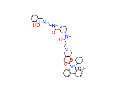 O=C(CCN1CCC(OC(=O)N(c2ccccc2-c2ccccc2)N(C(=O)O)c2ccccc2-c2ccccc2)CC1)Nc1cccc(C(=O)NCCNCc2ccccc2O)c1